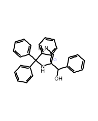 N/C=C(\NC(c1ccccc1)(c1ccccc1)c1ccccc1)C(O)c1ccccc1